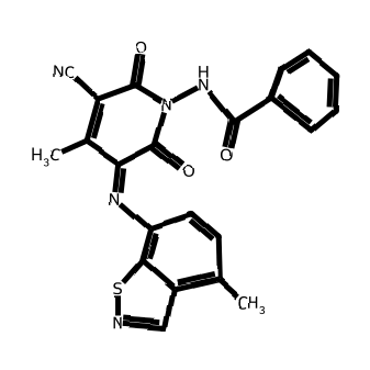 CC1=C(C#N)C(=O)N(NC(=O)c2ccccc2)C(=O)/C1=N\c1ccc(C)c2cnsc12